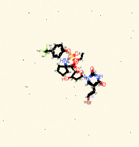 CCOC(=O)C1(NP(=O)(OC[C@H]2O[C@@H](n3cc(/C=C/Br)c(=O)[nH]c3=O)CC2O)Oc2ccc(C(F)(F)F)cc2)CCCC1